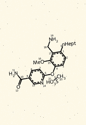 CCCCCCCc1ccc(Oc2ccc(C(N)=O)cn2)c(OC)c1CN.CS(=O)(=O)O